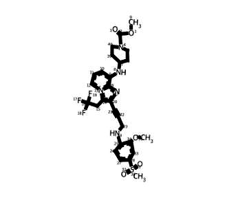 COC(=O)N1CCC(Nc2cccn3c(CC(F)(F)F)c(C#CCNc4ccc(S(C)(=O)=O)cc4OC)nc23)CC1